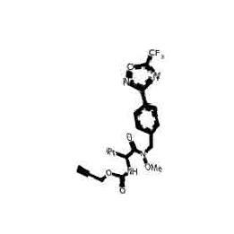 C#CCOC(=O)NC(C(=O)N(Cc1ccc(-c2noc(C(F)(F)F)n2)cc1)OC)C(C)C